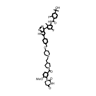 COc1ccc(C(=O)N2CCC(CCN3CCC(OCc4ccc(-c5cc6c(-c7cc(F)cc(NC(=O)c8ccc(C(C)(C)O)cc8F)c7C)ncnc6[nH]5)cc4)CC3)CC2)cc1N1CCC(=O)NC1=O